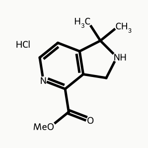 COC(=O)c1nccc2c1CNC2(C)C.Cl